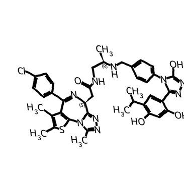 Cc1sc2c(c1C)C(c1ccc(Cl)cc1)=N[C@@H](CC(=O)NC[C@@H](C)NCc1ccc(-n3c(O)nnc3-c3cc(C(C)C)c(O)cc3O)cc1)c1nnc(C)n1-2